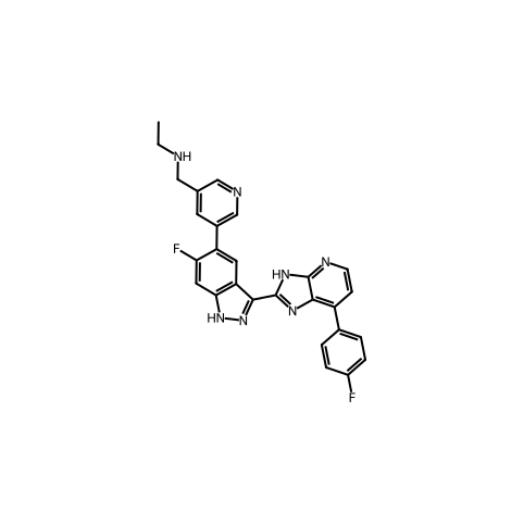 CCNCc1cncc(-c2cc3c(-c4nc5c(-c6ccc(F)cc6)ccnc5[nH]4)n[nH]c3cc2F)c1